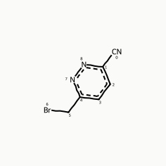 N#Cc1ccc(CBr)nn1